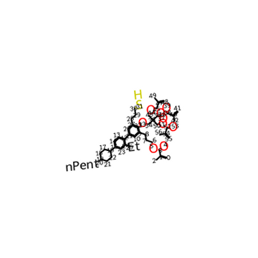 C=C(C)C(=O)OCCCc1cc(-c2ccc(C3CCC(CCCCC)CC3)cc2CC)cc(CCCS)c1OCC(COC(=O)C(=C)C)(COC(=O)C(=C)C)COC(=O)C(=C)C